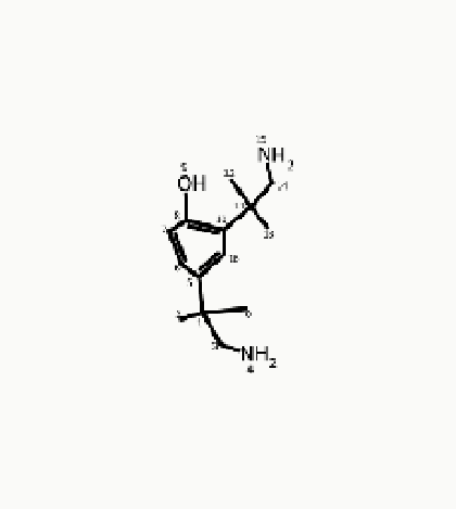 CC(C)(CN)c1ccc(O)c(C(C)(C)CN)c1